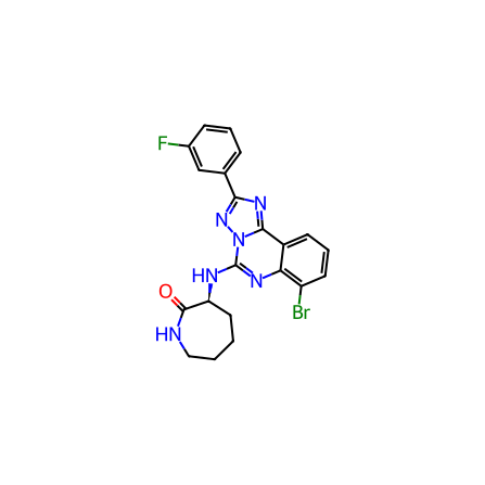 O=C1NCCCC[C@@H]1Nc1nc2c(Br)cccc2c2nc(-c3cccc(F)c3)nn12